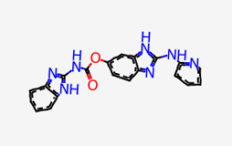 O=C(Nc1nc2ccccc2[nH]1)Oc1ccc2nc(Nc3ccccn3)[nH]c2c1